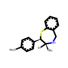 CCCC[C@]1(CC)NCc2ccccc2S[C@@H]1c1ccc(OC)cc1